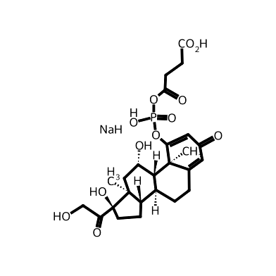 C[C@@]12C(=CC(=O)C=C1OP(=O)(O)OC(=O)CCC(=O)O)CC[C@@H]1[C@@H]2[C@@H](O)C[C@@]2(C)[C@H]1CC[C@]2(O)C(=O)CO.[NaH]